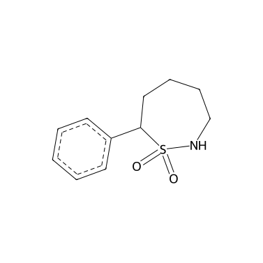 O=S1(=O)NCCCCC1c1ccccc1